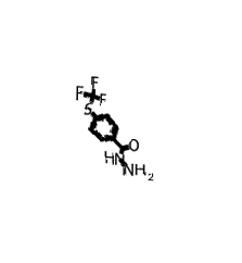 NNC(=O)c1ccc(SC(F)(F)F)cc1